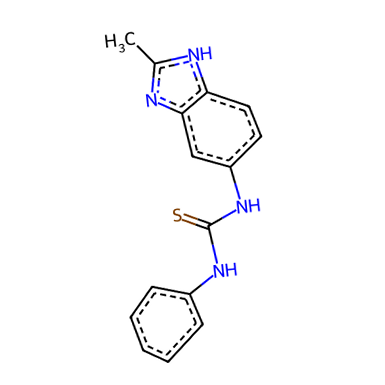 Cc1nc2cc(NC(=S)Nc3ccccc3)ccc2[nH]1